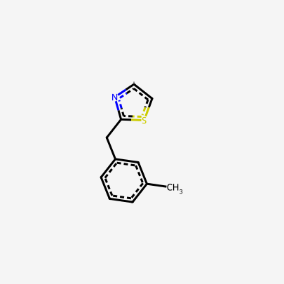 Cc1cccc(Cc2n[c]cs2)c1